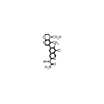 Cc1c(-c2cc3cc(N(C(N)=O)C(C)C)ncc3c(Cl)c2F)cnc2c1N(C(=O)O)CCO2